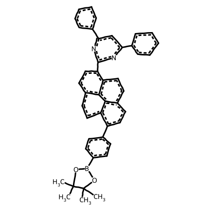 CC1(C)OB(c2ccc(-c3ccc4ccc5c(-c6nc(-c7ccccc7)cc(-c7ccccc7)n6)ccc6ccc3c4c65)cc2)OC1(C)C